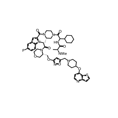 CN[C@@H](C)C(=O)NC(C(=O)N1CCN(C(=O)c2cc3cc(F)ccc3n2CC(=O)N2CCOC[C@H]2COc2cc(CN3CCC(Oc4ccnc5ccsc45)CC3)on2)[C@@H](C)C1)C1CCCCC1